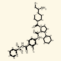 N[C@H](CF)[C@H]1CC[C@H](C(=O)N2CC[C@@H](C3CCCCC3)[C@H]2C(=O)Nc2ccc(C(=O)NS(=O)(=O)c3ccccn3)c(F)c2)CC1